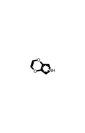 C1=COc2c[nH]cc2O1